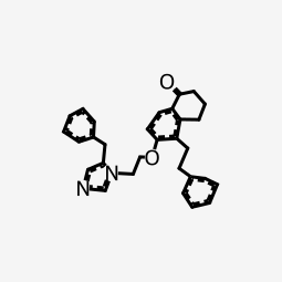 O=C1CCCc2c1ccc(OCCn1cncc1Cc1ccccc1)c2CCc1ccccc1